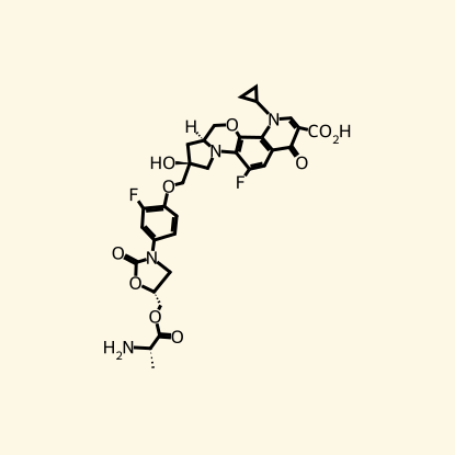 C[C@H](N)C(=O)OC[C@H]1CN(c2ccc(OC[C@]3(O)C[C@H]4COc5c(c(F)cc6c(=O)c(C(=O)O)cn(C7CC7)c56)N4C3)c(F)c2)C(=O)O1